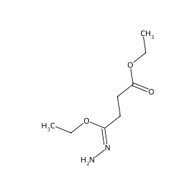 CCOC(=O)CCC(=NN)OCC